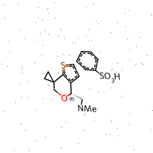 CNC[C@@H]1OCC2(CC2)c2sccc21.O=S(=O)(O)c1ccccc1